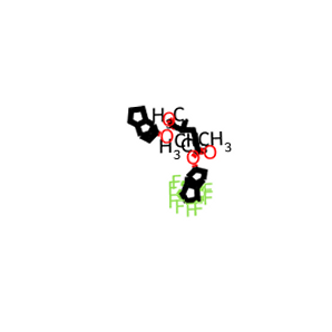 CCC(C)(CC(C)(C)C(=O)OC1CC2CC1C1(F)C(F)(F)C(F)(F)C(F)(F)C21F)C(=O)OC1CC2CC1C1CCCC21